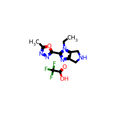 CCn1c(-c2nnc(C)o2)nc2c1CNC2.O=C(O)C(F)(F)F